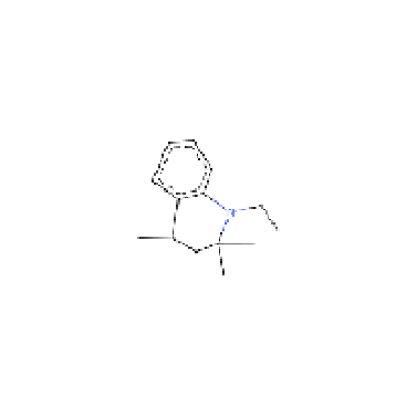 CCN1c2ccccc2C(C)CC1(C)C